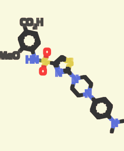 COc1cc(C(=O)O)ccc1NS(=O)(=O)c1csc(N2CCN(c3ccc(N(C)C)cc3)CC2)n1